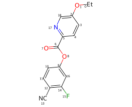 CCOc1ccc(C(=O)Oc2ccc(C#N)c(F)c2)nc1